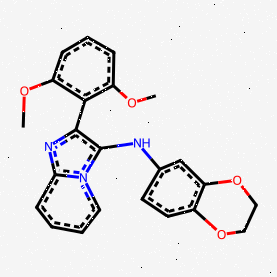 COc1cccc(OC)c1-c1nc2ccccn2c1Nc1ccc2c(c1)OCCO2